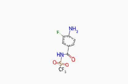 Nc1ccc(C(=O)NS(=O)(=O)C(F)(F)F)cc1F